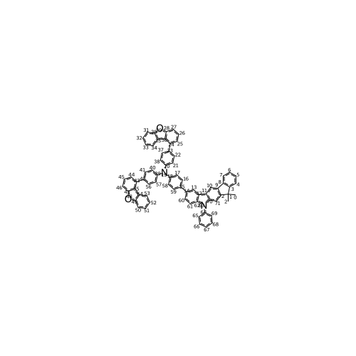 CC1(C)c2ccccc2-c2cc3c4cc(-c5ccc(N(c6ccc(-c7cccc8oc9ccccc9c78)cc6)c6ccc(-c7cccc8oc9ccccc9c78)cc6)cc5)ccc4n(-c4ccccc4)c3cc21